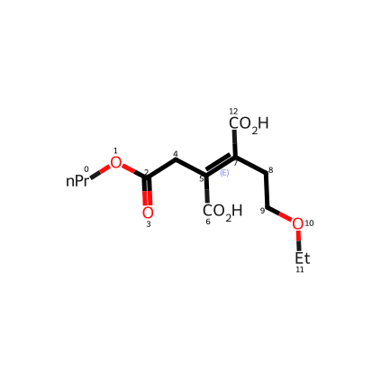 CCCOC(=O)C/C(C(=O)O)=C(/CCOCC)C(=O)O